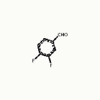 O=Cc1[c]c(F)c(F)cc1